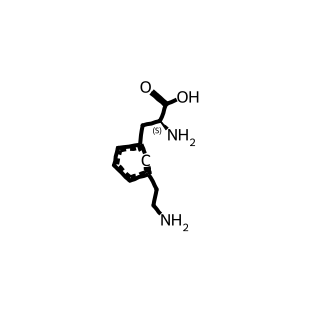 NCCc1cccc(C[C@H](N)C(=O)O)c1